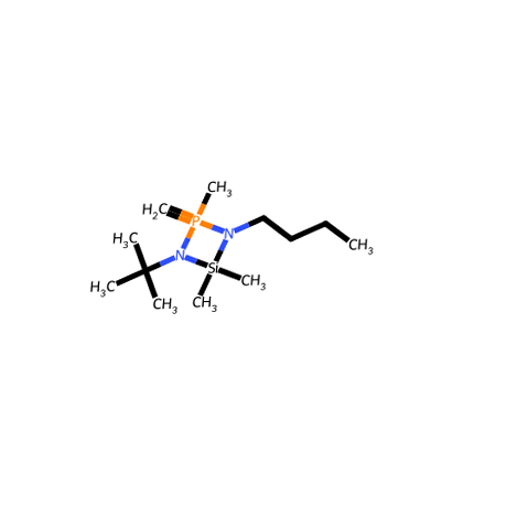 C=P1(C)N(CCCC)[Si](C)(C)N1C(C)(C)C